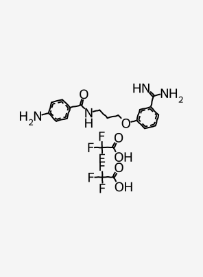 N=C(N)c1cccc(OCCCNC(=O)c2ccc(N)cc2)c1.O=C(O)C(F)(F)F.O=C(O)C(F)(F)F